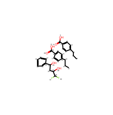 CCCc1ccc(C(=O)O)cc1.CCCc1ccc(C(=O)O)cc1.OC(CC(O)C(F)F)c1ccccc1